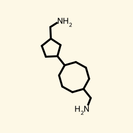 NCC1CCCC(C2CCC(CN)C2)CCC1